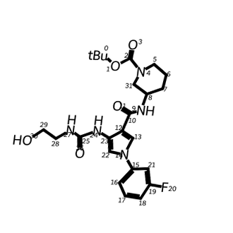 CC(C)(C)OC(=O)N1CCCC(NC(=O)c2cn(-c3cccc(F)c3)cc2NC(=O)NCCO)C1